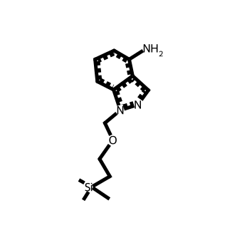 C[Si](C)(C)CCOCn1ncc2c(N)cccc21